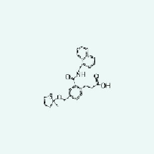 CC1(OCc2ccc(CCC(=O)O)c(C(=O)NCc3cccc4ccccc34)c2)CC=CS1